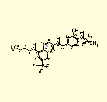 CCCCNc1nc(C(F)(F)F)ccc1/C=C\C(=O)NCc1ccc(NS(C)(=O)=O)c(C)c1